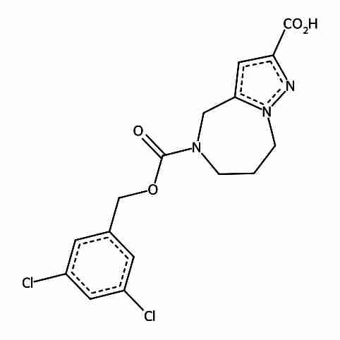 O=C(O)c1cc2n(n1)CCCN(C(=O)OCc1cc(Cl)cc(Cl)c1)C2